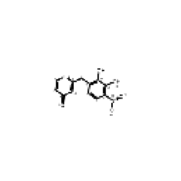 O=c1ccoc(Cc2ccc([N+](=O)[O-])c(O)c2O)c1